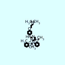 CCOc1ccccc1N(C(=O)Oc1c(C)cccc1C)c1ccnc(Nc2ccc(OCCCN(C)C)cc2)n1